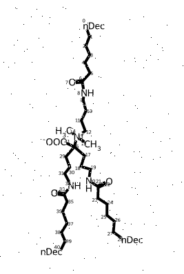 CCCCCCCCCCCCCCCC(=O)NCCCC[N+](C)(C)C(CCCNC(=O)CCCCCCCCCCCCCCC)(CCCNC(=O)CCCCCCCCCCCCCCC)C(=O)[O-]